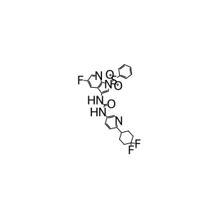 O=C(Nc1ccc(C2CCC(F)(F)CC2)nc1)Nc1cn(S(=O)(=O)c2ccccc2)c2ncc(F)cc12